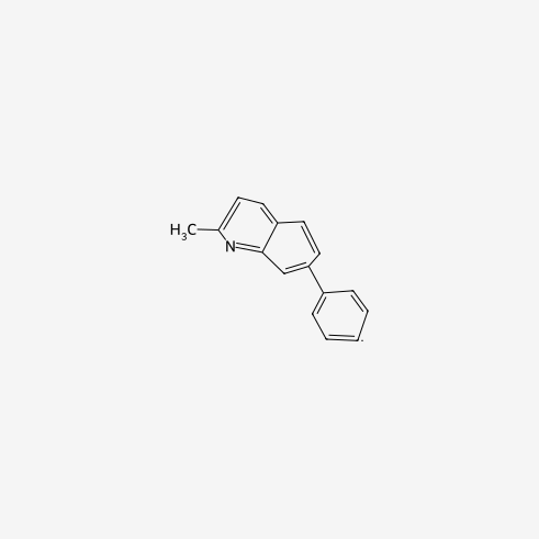 Cc1ccc2ccc(-c3cc[c]cc3)cc2n1